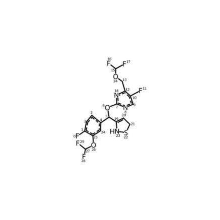 Fc1ccc(C(Oc2ncc(F)c(COC(F)F)n2)C2=CCSN2)cc1OC(F)F